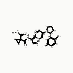 COC(=O)C1(C(=O)Nc2cnn3cc(N4CCC[C@@H]4c4cc(F)ccc4F)cnc23)CC1